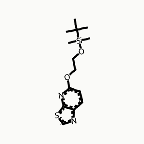 CC(C)(C)[Si](C)(C)OCCOc1ccc2n[c]sc2n1